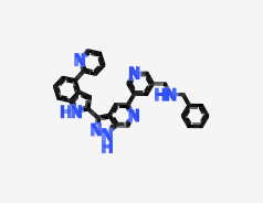 c1ccc(CNCc2cncc(-c3cc4c(-c5cc6c(-c7ccccn7)cccc6[nH]5)n[nH]c4cn3)c2)cc1